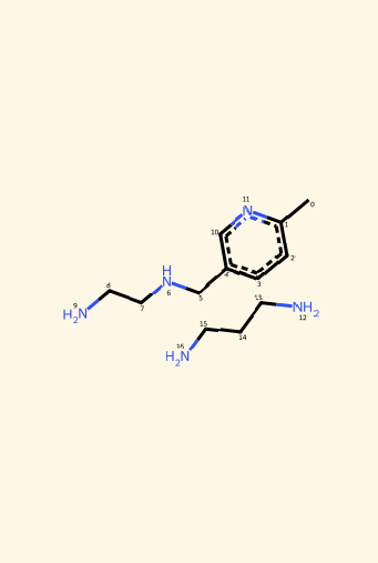 Cc1ccc(CNCCN)cn1.NCCCN